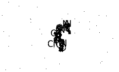 CCCn1cnnc1-c1cccc(N2Cc3c(cc(Cl)nc3CN(C)C(=O)OC(C)(C)C)C2=O)n1